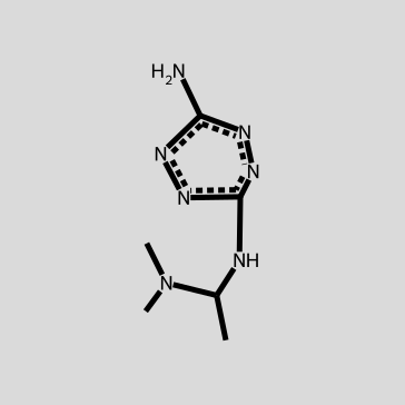 CC(Nc1nnc(N)nn1)N(C)C